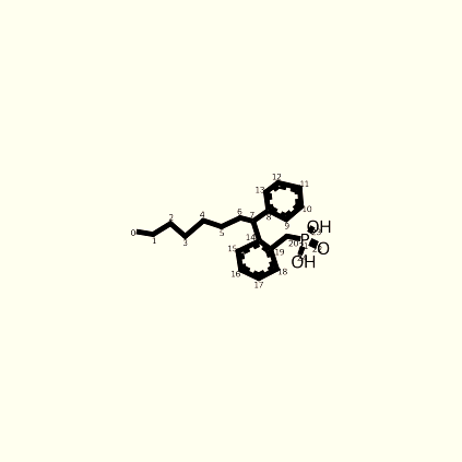 CCCCCCCC(c1ccccc1)c1ccccc1CP(=O)(O)O